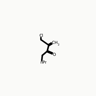 C=C(CCl)C(=O)CCCC